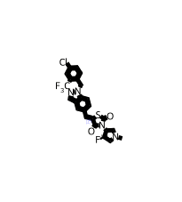 CN1CC(N2C(=O)S/C(=C\c3ccc4c(cnn4Cc4ccc(Cl)cc4C(F)(F)F)c3)C2=O)[C@H](F)C1